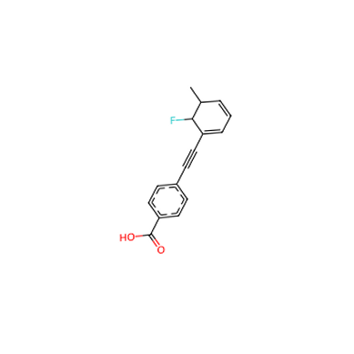 CC1C=CC=C(C#Cc2ccc(C(=O)O)cc2)C1F